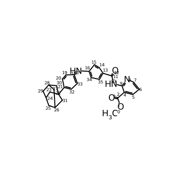 COC(=O)c1cccnc1NC(=O)c1ccc(Nc2ccc(C34CC5CC(CC(C5)C3)C4)cc2)cc1